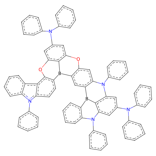 c1ccc(N(c2ccccc2)c2cc3c4c(c2)Oc2c(ccc5c2c2ccccc2n5-c2ccccc2)B4c2cc4c(cc2O3)N(c2ccccc2)c2cc(N(c3ccccc3)c3ccccc3)cc3c2B4c2ccccc2N3c2ccccc2)cc1